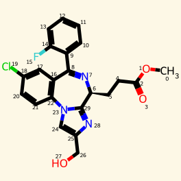 COC(=O)CC[C@@H]1N=C(c2ccccc2F)c2cc(Cl)ccc2-n2cc(CO)nc21